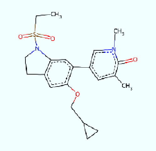 CCS(=O)(=O)N1CCc2cc(OCC3CC3)c(-c3cc(C)c(=O)n(C)c3)cc21